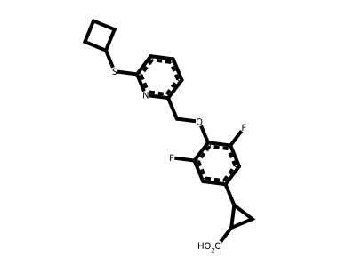 O=C(O)C1CC1c1cc(F)c(OCc2cccc(SC3CCC3)n2)c(F)c1